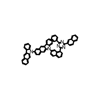 c1ccc(-c2nc(-c3ccc4ccccc4c3)nc(-c3cccc4ccc(-n5c6ccccc6c6cc7cc(-n8c9ccccc9c9cc%10ccccc%10cc98)ccc7cc65)cc34)n2)cc1